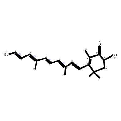 CCC(C)/C=C/C=C(C)/C=C/C=C(C)/C=C/C1=C(C)C(=O)C(O)CC1(C)C